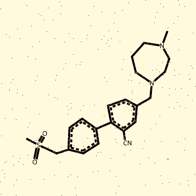 CN1CCCN(Cc2ccc(-c3ccc(CS(C)(=O)=O)cc3)c(C#N)c2)CC1